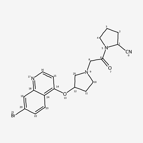 N#CC1CCCN1C(=O)CN1CCC(Oc2ccnc3cc(Br)ccc23)C1